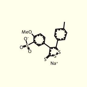 COc1ccc(-c2c(-c3ccc(C)cc3)ssc2=S)cc1S(=O)(=O)[O-].[Na+]